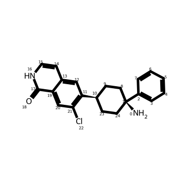 N[C@]1(c2ccccc2)CC[C@H](c2cc3cc[nH]c(=O)c3cc2Cl)CC1